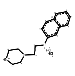 Cl.Cl.c1ccc2cc(OCCN3CCNCC3)ccc2c1